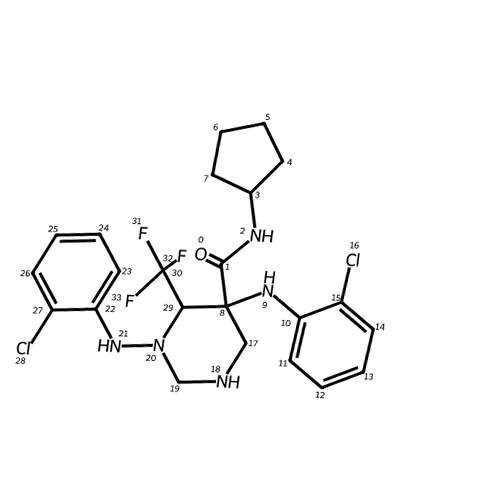 O=C(NC1CCCC1)C1(Nc2ccccc2Cl)CNCN(Nc2ccccc2Cl)C1C(F)(F)F